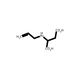 C=CC[AsH]C(CC(=O)O)C(=O)O